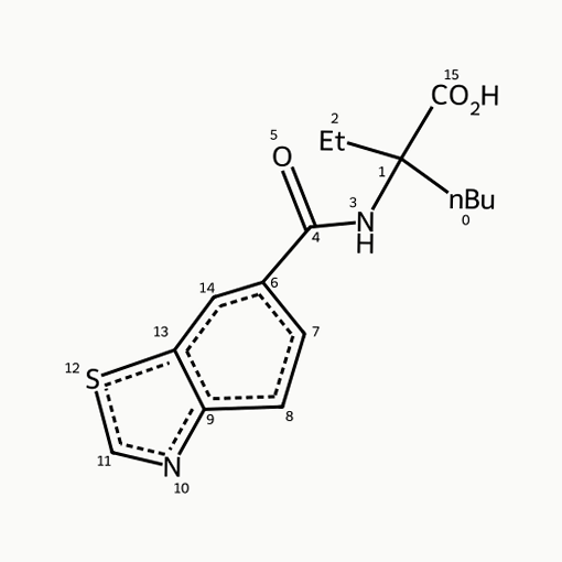 CCCCC(CC)(NC(=O)c1ccc2ncsc2c1)C(=O)O